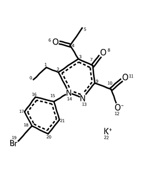 CCc1c(C(C)=O)c(=O)c(C(=O)[O-])nn1-c1ccc(Br)cc1.[K+]